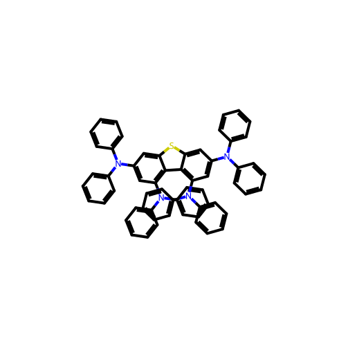 c1ccc(N(c2ccccc2)c2cc(N(c3ccccc3)c3ccccc3)c3c(c2)sc2cc(N(c4ccccc4)c4ccccc4)cc(N(c4ccccc4)c4ccccc4)c23)cc1